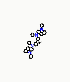 CC1(C)c2ccc(N(c3ccccc3)c3ccc4c5c3ccc3cccc(c35)n4-c3ccccc3)cc2-c2cc(N(c3ccccc3)c3ccc4c5c3ccc3cccc(c35)n4-c3ccccc3)ccc21